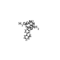 C[C@@H]1CN(c2ccc(-c3ccccc3F)cc2)C(=O)c2c(N)ncnc2O1